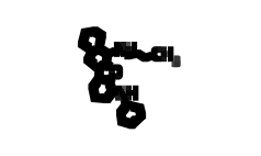 CCCCNc1c2ccccc2cc2c1oc1c(Nc3ccccc3)cccc12